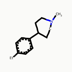 CCc1ccc(C2CCN(C)CC2)cc1